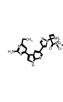 CCc1cc(-c2c[nH]c3ncc(-c4cnn(C5(C(=O)N(C)C)C=CN5)c4)cc23)nc(N)n1